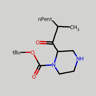 CCCCCC(C)C(=O)C1CNCCN1C(=O)OC(C)(C)C